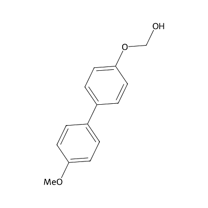 COc1ccc(-c2ccc(OCO)cc2)cc1